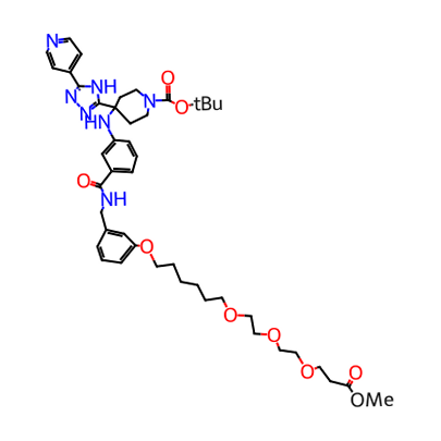 COC(=O)CCOCCOCCOCCCCCCOc1cccc(CNC(=O)c2cccc(NC3(c4nnc(-c5ccncc5)[nH]4)CCN(C(=O)OC(C)(C)C)CC3)c2)c1